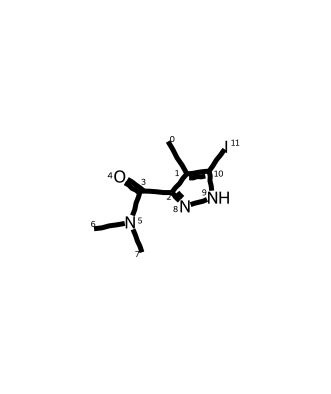 Cc1c(C(=O)N(C)C)n[nH]c1I